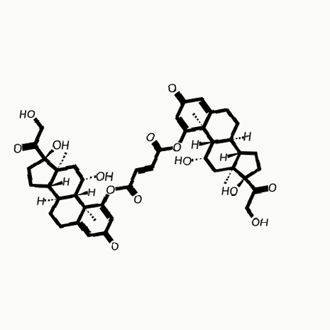 C[C@@]12C(=CC(=O)C=C1OC(=O)/C=C/C(=O)OC1=CC(=O)C=C3CC[C@@H]4[C@H]([C@@H](O)C[C@@]5(C)[C@H]4CC[C@]5(O)C(=O)CO)[C@]31C)CC[C@@H]1[C@@H]2[C@@H](O)C[C@@]2(C)[C@H]1CC[C@]2(O)C(=O)CO